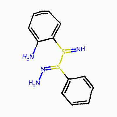 N=S(c1ccccc1N)S(=NN)c1ccccc1